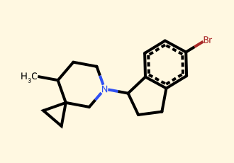 CC1CCN(C2CCc3cc(Br)ccc32)CC12CC2